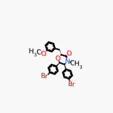 COc1cccc(C[C@H]2O[C@H](c3ccc(Br)cc3)[C@H](c3ccc(Br)cc3)N(C)C2=O)c1